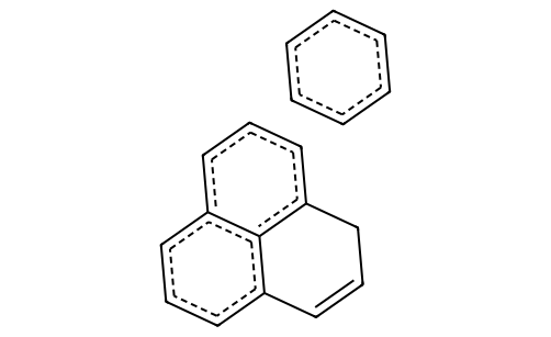 C1=Cc2cccc3cccc(c23)C1.c1ccccc1